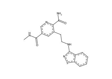 CNC(=O)c1cnc(C(N)=O)c(CCNc2nsc3ccccc23)c1